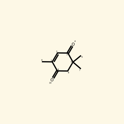 CC1=CC(=O)C(C)(C)CC1=O